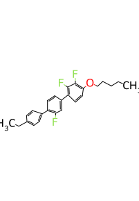 CCCCCOc1ccc(-c2ccc(-c3ccc(CC)cc3)c(F)c2)c(F)c1F